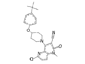 Cn1c(=O)c(C#N)c(N2CCC(Oc3ccc(C(C)(C)C)cc3)CC2)c2nc(Cl)ccc21